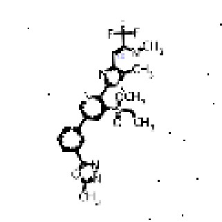 C=N/C(=C\c1nc(-c2ncc(-c3cccc(-c4nnc(C)o4)c3)cc2S(=O)(=O)CC)n(C)c1C)C(F)(F)F